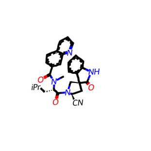 CC(C)C[C@@H](C(=O)N1C[C@]2(C[C@H]1C#N)C(=O)Nc1ccccc12)N(C)C(=O)c1ccc2cccnc2c1